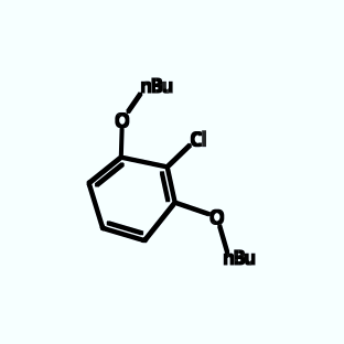 CCCCOc1cccc(OCCCC)c1Cl